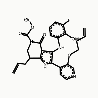 C=CCCOc1cnccc1-c1[nH]c2c(c1Nc1cccc(F)c1OC)C(=O)N(C(=O)OC(C)(C)C)CC2CC=C